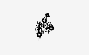 CC(NC(=O)[C@H]1CN(C2CCC2)CC[C@@H]1NC(=O)c1cc(-c2ccc(F)cc2F)on1)c1ncccc1F